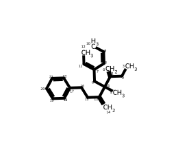 C=C(CC)C(C)(CC(/C=C\C)=C/C)C(=C)CCc1ccccc1